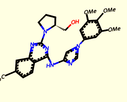 COc1cc(-n2cnc(Nc3nc(N4CCC[C@@H]4CO)nc4cc(C(F)(F)F)ccc34)c2)cc(OC)c1OC